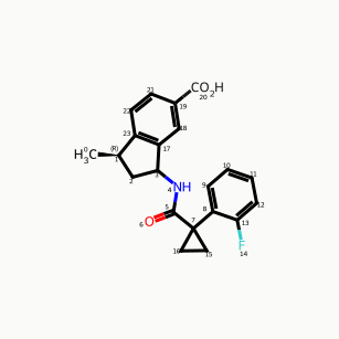 C[C@@H]1CC(NC(=O)C2(c3ccccc3F)CC2)c2cc(C(=O)O)ccc21